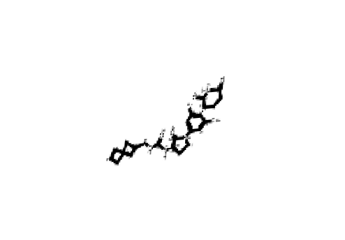 O=C1CC[C@H](c2c(F)cc(N3CC[C@@H](NC(=O)OCC4CC5(CCC5)C4)C3=O)cc2F)C(=O)N1